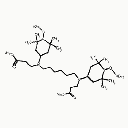 CCCCCCCCON1C(C)(C)CC(N(CCCCCCN(CCC(=O)OC)C2CC(C)(C)N(OCCCCCCCC)C(C)(C)C2)CCC(=O)OC)CC1(C)C